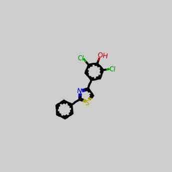 Oc1c(Cl)cc(-c2csc(-c3ccccc3)n2)cc1Cl